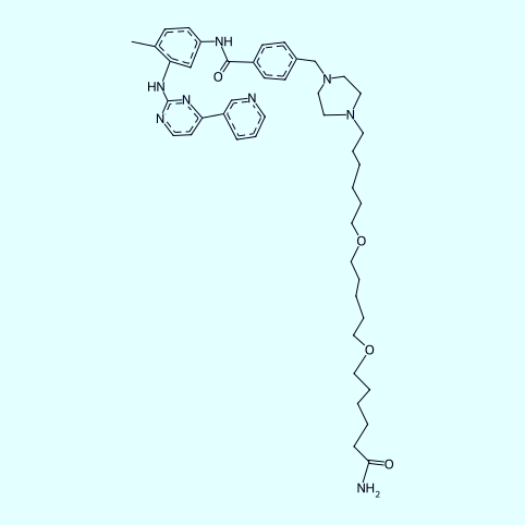 Cc1ccc(NC(=O)c2ccc(CN3CCN(CCCCCCOCCCCCOCCCCCC(N)=O)CC3)cc2)cc1Nc1nccc(-c2cccnc2)n1